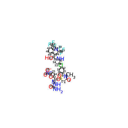 CN1C(=O)CCS(=O)(=O)C1c1ccc(Cl)cc1.NC(=O)N/N=C/c1ccc([N+](=O)[O-])o1.O[C@@H](c1cc(C(F)(F)F)nc2c(C(F)(F)F)cccc12)[C@H]1CCCCN1